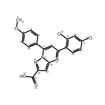 COc1ccc(-c2cc(-c3ccc(Cl)cc3Cl)nc3cc(C(=O)O)nn23)cc1